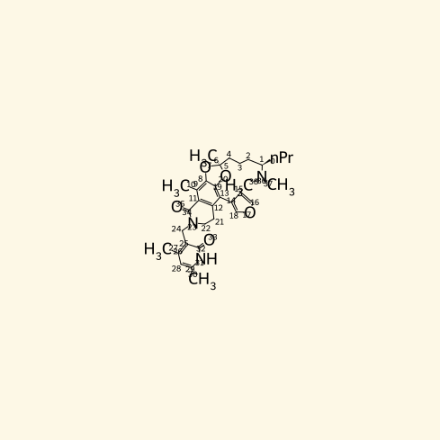 CCC[C@H](CCC[C@]1(C)Oc2c(C)c3c(c(-c4ccoc4)c2O1)CCN(Cc1c(C)cc(C)[nH]c1=O)C3=O)N(C)C